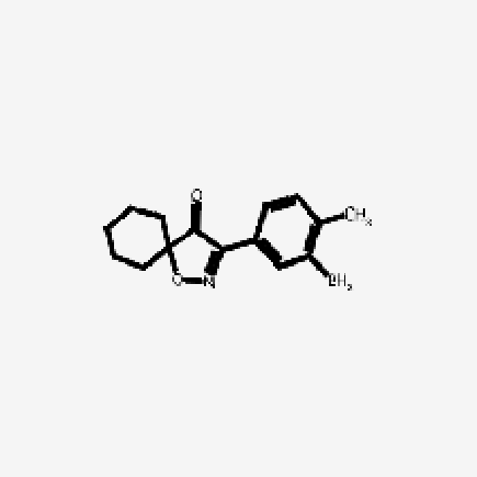 Bc1cc(C2=NOC3(CCCCC3)C2=O)ccc1C